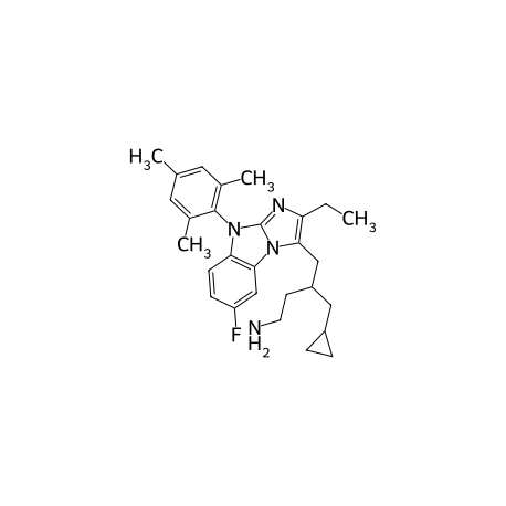 CCc1nc2n(-c3c(C)cc(C)cc3C)c3ccc(F)cc3n2c1CC(CCN)CC1CC1